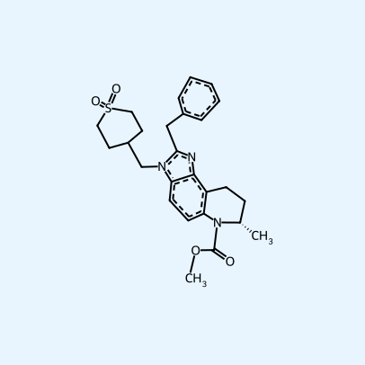 COC(=O)N1c2ccc3c(nc(Cc4ccccc4)n3CC3CCS(=O)(=O)CC3)c2CC[C@@H]1C